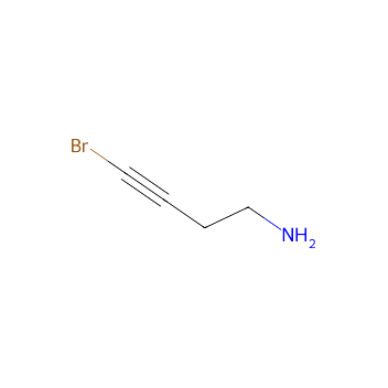 NCCC#CBr